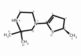 C[C@@H]1CC=C(N2CCNC(C)(C)C2)S1